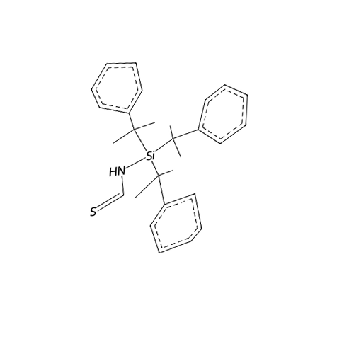 CC(C)(c1ccccc1)[Si](NC=S)(C(C)(C)c1ccccc1)C(C)(C)c1ccccc1